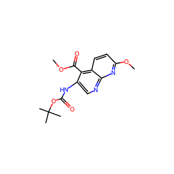 COC(=O)c1c(NC(=O)OC(C)(C)C)cnc2nc(OC)ccc12